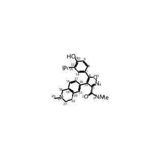 CNC(=O)c1noc(-c2ccc(O)c(C(C)C)c2)c1-c1ccc2c(c1)CCN(C)C2